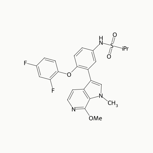 COc1nccc2c(-c3cc(NS(=O)(=O)C(C)C)ccc3Oc3ccc(F)cc3F)cn(C)c12